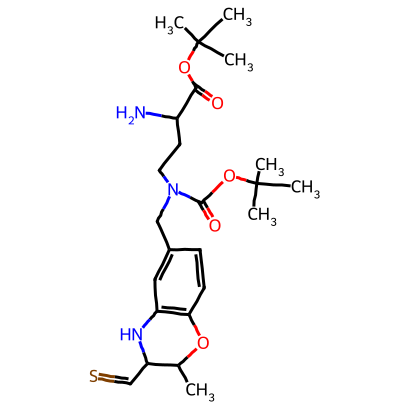 CC1Oc2ccc(CN(CCC(N)C(=O)OC(C)(C)C)C(=O)OC(C)(C)C)cc2NC1C=S